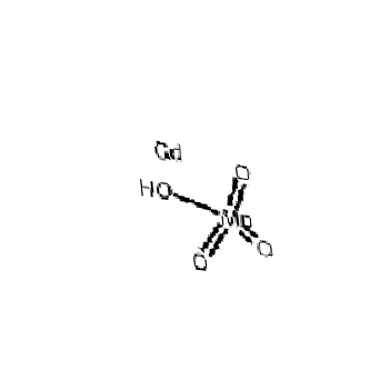 [Gd].[O]=[Mn](=[O])(=[O])[OH]